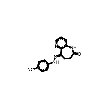 N#Cc1ccc(NN=C2CCC(=O)Nc3cccnc32)cc1